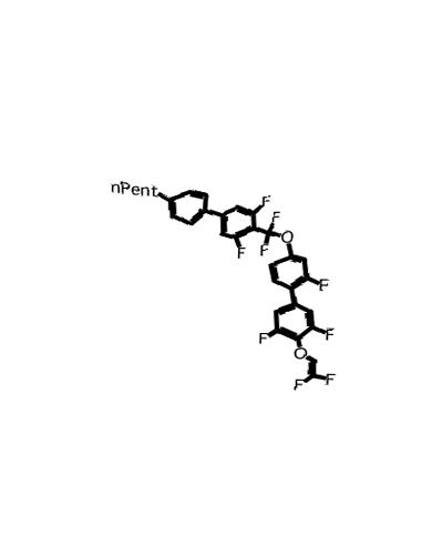 CCCCCc1ccc(-c2cc(F)c(C(F)(F)Oc3ccc(-c4cc(F)c(OC=C(F)F)c(F)c4)c(F)c3)c(F)c2)cc1